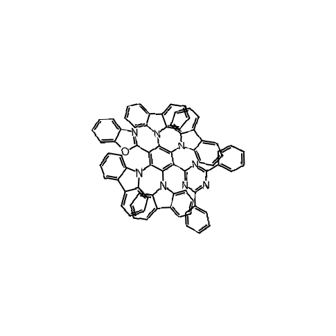 c1ccc(-c2nc(-c3ccccc3)nc(-c3c(-n4c5ccccc5c5ccccc54)c(-n4c5ccccc5c5ccccc54)c(-c4nc5ccccc5o4)c(-n4c5ccccc5c5ccccc54)c3-n3c4ccccc4c4ccccc43)n2)cc1